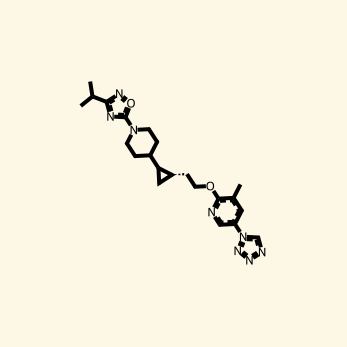 Cc1cc(-n2cnnn2)cnc1OCC[C@@H]1CC1C1CCN(c2nc(C(C)C)no2)CC1